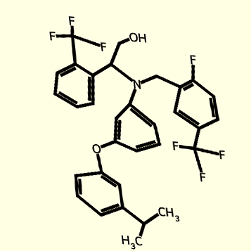 CC(C)c1cccc(Oc2cccc(N(Cc3cc(C(F)(F)F)ccc3F)C(CO)c3ccccc3C(F)(F)F)c2)c1